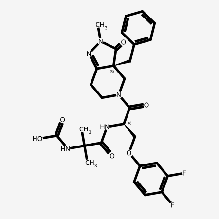 CN1N=C2CCN(C(=O)[C@@H](COc3ccc(F)c(F)c3)NC(=O)C(C)(C)NC(=O)O)C[C@@]2(Cc2ccccc2)C1=O